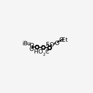 CCOCCOCCOc1ccc(C(=O)O)c(-c2ccc(-c3ccc(C(=O)OC[C@@H](C)CC)cc3)cc2)c1F